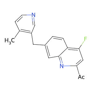 CC(=O)c1cc(F)c2ccc(Cc3cnccc3C)cc2n1